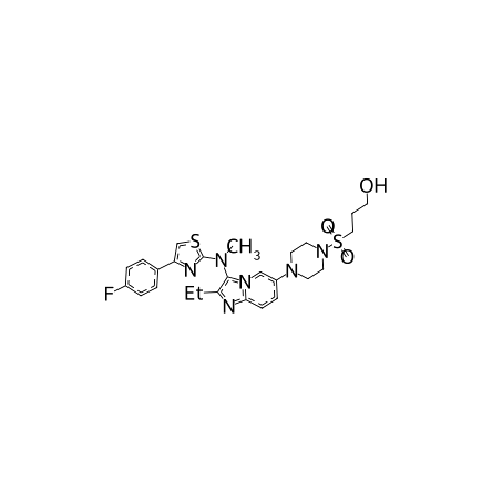 CCc1nc2ccc(N3CCN(S(=O)(=O)CCCO)CC3)cn2c1N(C)c1nc(-c2ccc(F)cc2)cs1